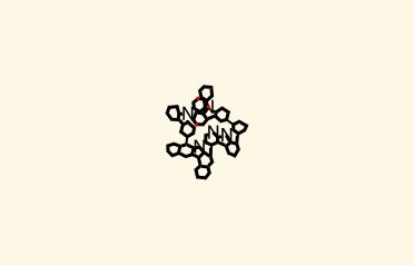 c1ccc(-n2c3ccccc3c3cc(-c4c5ccccc5cc5c6c7ccccc7cc7c8c9c%10cccc%11c%12cccc(-c%13ccc%14c(c%13)c%13ccccc%13n%14-c%13ccccc%13)c%12n(c9ncc8n(c45)c76)c%11%10)ccc32)cc1